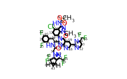 Cn1nc(NS(C)(=O)=O)c2c(Cl)ccc(-n3c([C@H](Cc4cc(F)cc(F)c4)NC(=O)Cn4nc(C(F)F)c5c4C(F)(F)[C@@H]4C[C@H]54)nc4ncc(-c5nccc(C(F)F)n5)cc4c3=O)c21